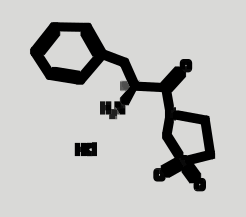 Cl.N[C@@H](Cc1ccccc1)C(=O)N1CCS(=O)(=O)C1